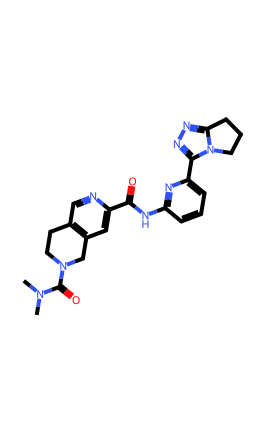 CN(C)C(=O)N1CCc2cnc(C(=O)Nc3cccc(-c4nnc5n4CCC5)n3)cc2C1